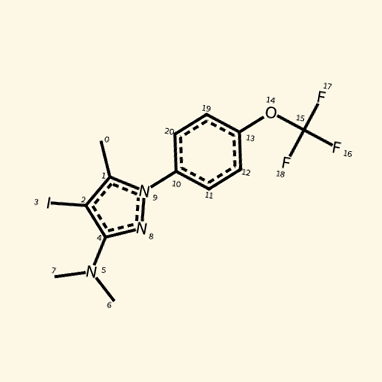 Cc1c(I)c(N(C)C)nn1-c1ccc(OC(F)(F)F)cc1